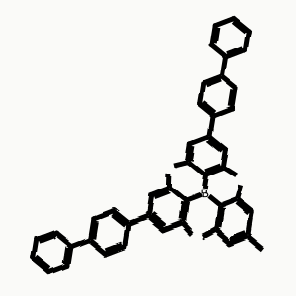 Cc1cc(C)c(B(c2c(C)cc(-c3ccc(-c4ccccc4)cc3)cc2C)c2c(C)cc(-c3ccc(-c4ccccc4)cc3)cc2C)c(C)c1